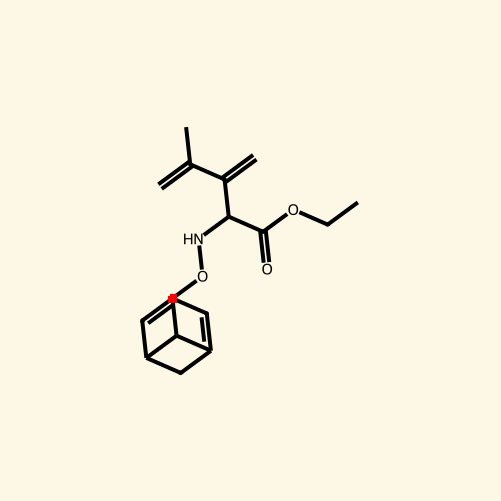 C=C(C)C(=C)C(NOCC1C2=CC=CC1C2)C(=O)OCC